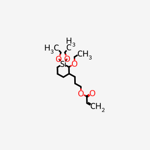 C=CC(=O)OCCCC1CCC[Si](OCC)(OCC)C1OCC